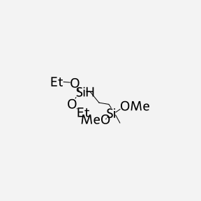 CCO[SiH](CCC[Si](C)(OC)OC)OCC